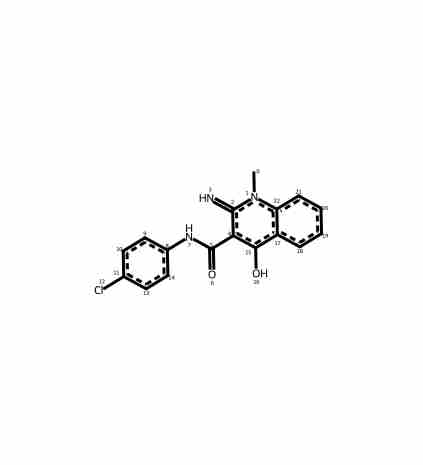 Cn1c(=N)c(C(=O)Nc2ccc(Cl)cc2)c(O)c2ccccc21